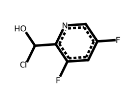 OC(Cl)c1ncc(F)cc1F